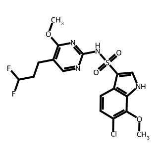 COc1nc(NS(=O)(=O)c2c[nH]c3c(OC)c(Cl)ccc23)ncc1CCC(F)F